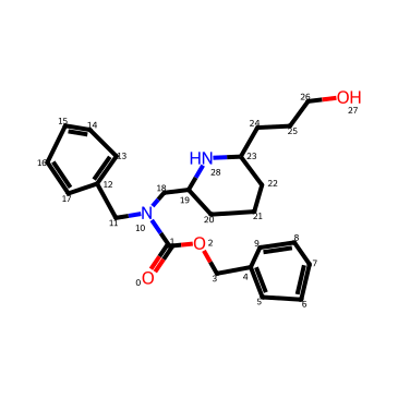 O=C(OCc1ccccc1)N(Cc1ccccc1)CC1CCCC(CCCO)N1